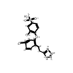 CS(=O)(=O)c1ccc(Oc2cc(Cl)ccc2CCc2nnn[nH]2)c(Cl)c1